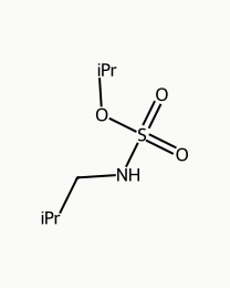 CC(C)CNS(=O)(=O)OC(C)C